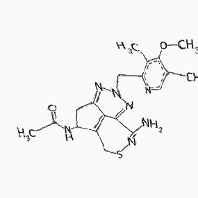 COc1c(C)cnc(CN2N=C3CC(NC(C)=O)C4=C3C(=N2)C(N)=NSC4)c1C